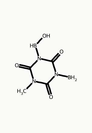 Bn1c(=O)n(C)c(=O)n(BO)c1=O